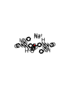 O=S(=O)([O-])C1(S(=O)(=O)[O-])C=C(Nc2nc(Nc3ccccc3)nc(N3CCOCC3)n2)C=CC1C=Cc1ccc(Nc2nc(Nc3ccccc3)nc(N3CCOCC3)n2)cc1.[Na+].[Na+]